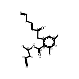 C=CC/C=C/C(=O)Cc1cc(C)cc(C)c1C(=O)OC(C)CC=C